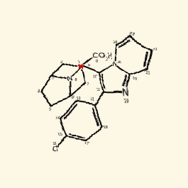 O=C(O)N1CC2CCC(C1)N2Cc1c(-c2ccc(Cl)cc2)nc2ccccn12